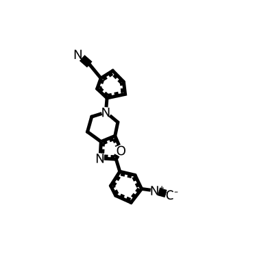 [C-]#[N+]c1cccc(-c2nc3c(o2)CN(c2cccc(C#N)c2)CC3)c1